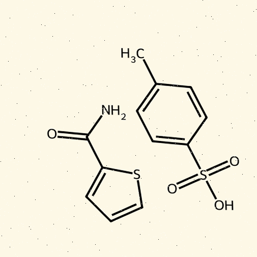 Cc1ccc(S(=O)(=O)O)cc1.NC(=O)c1cccs1